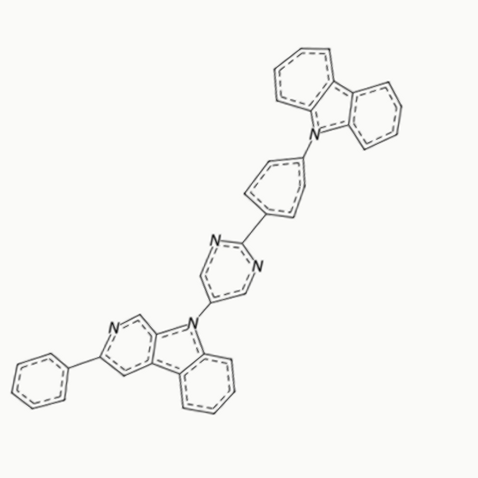 c1ccc(-c2cc3c4ccccc4n(-c4cnc(-c5ccc(-n6c7ccccc7c7ccccc76)cc5)nc4)c3cn2)cc1